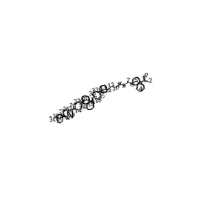 C=C(C)C(=O)OCCCCCCCOc1ccc(C(=O)Oc2ccc(-c3ccc(OCC)cn3)cc2)cc1